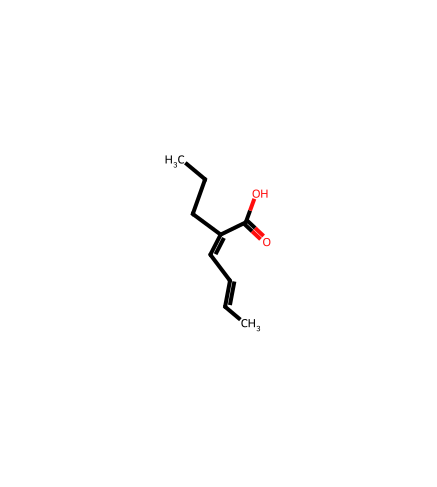 CC=CC=C(CCC)C(=O)O